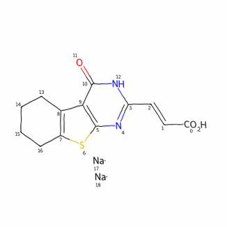 O=C(O)C=Cc1nc2sc3c(c2c(=O)[nH]1)CCCC3.[Na].[Na]